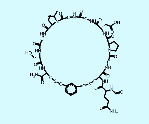 CCC1C(=O)NCC(=O)N[C@@H](CO)C(=O)NC(C(N)=O)CSCc2cccc(c2)CSCC(NC(=O)C(CCC(N)=O)NC=O)C(=O)NCC(=O)N2CCCC2C(=O)N[C@@H](CC(=O)O)C(=O)NCC(=O)NCC(=O)N1C(C)C